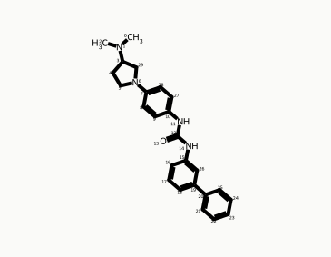 CN(C)C1CCN(c2ccc(NC(=O)Nc3cccc(-c4ccccc4)c3)cc2)C1